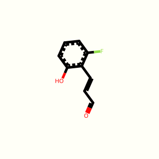 O=CC=Cc1c(O)cccc1F